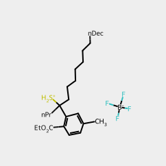 CCCCCCCCCCCCCCCCCC([SH2+])(CCC)c1cc(C)ccc1C(=O)OCC.F[B-](F)(F)F